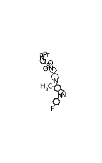 CCCn1ccc(S(=O)(=O)N2CCC3(CCN(c4cc5cnn(-c6ccc(F)cc6)c5cc4C)CC3)C2)c1